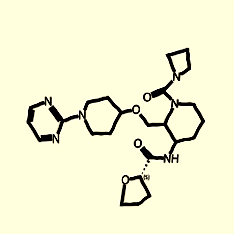 O=C(NC1CCCN(C(=O)N2CCC2)C1COC1CCN(c2ncccn2)CC1)[C@@H]1CCCO1